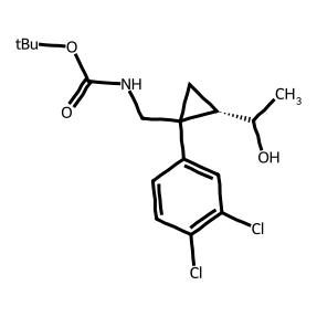 CC(O)[C@H]1CC1(CNC(=O)OC(C)(C)C)c1ccc(Cl)c(Cl)c1